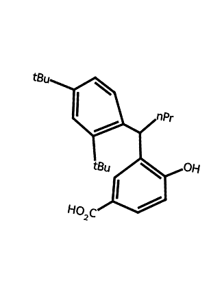 CCCC(c1cc(C(=O)O)ccc1O)c1ccc(C(C)(C)C)cc1C(C)(C)C